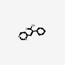 O=C(O)/C(=C\c1ccncn1)c1ccccc1